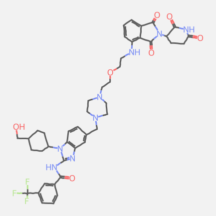 O=C1CCC(N2C(=O)c3cccc(NCCOCCN4CCN(Cc5ccc6c(c5)nc(NC(=O)c5cccc(C(F)(F)F)c5)n6C5CCC(CO)CC5)CC4)c3C2=O)C(=O)N1